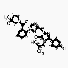 CC1(O)CCN(C(=O)c2ccccc2-n2cnc(Cn3nc(-c4ccc(Cl)cc4)n(C[C@H](O)C(F)(F)F)c3=O)n2)C1